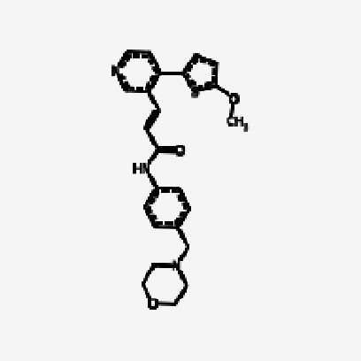 COc1ccc(-c2ccncc2C=CC(=O)Nc2ccc(CN3CCOCC3)cc2)s1